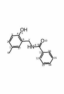 Cc1ccc(O)c(CNC(=O)c2ccccc2)c1